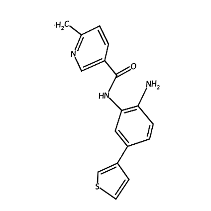 [CH2]c1ccc(C(=O)Nc2cc(-c3ccsc3)ccc2N)cn1